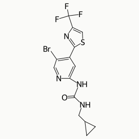 O=C(NCC1CC1)Nc1cc(-c2nc(C(F)(F)F)cs2)c(Br)cn1